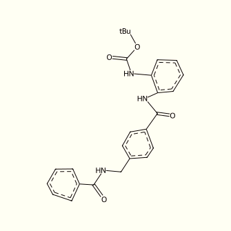 CC(C)(C)OC(=O)Nc1ccccc1NC(=O)c1ccc(CNC(=O)c2ccccc2)cc1